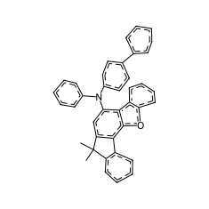 CC1(C)c2ccccc2-c2c1cc(N(c1ccccc1)c1ccc(-c3ccccc3)cc1)c1c2oc2ccccc21